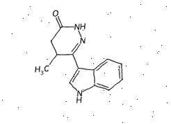 CC1CC(=O)NN=C1c1c[nH]c2ccccc12